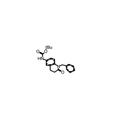 CC(C)(C)OC(=O)Nc1ccc2c(c1)CCC(=O)N2Cc1ccccc1